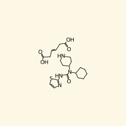 O=C(Nc1nccs1)N(C1CCCCC1)C1CCNCC1.O=C(O)CC=CCC(=O)O